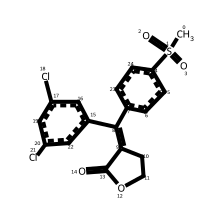 CS(=O)(=O)c1ccc(C(=C2CCOC2=O)c2cc(Cl)cc(Cl)c2)cc1